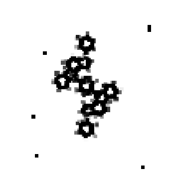 c1ccc(-n2ccc3c2ccc2c4ccccc4n(-c4cnc(-n5c6ccccc6c6ccc7c(ccn7-c7ccccc7)c65)cn4)c23)cc1